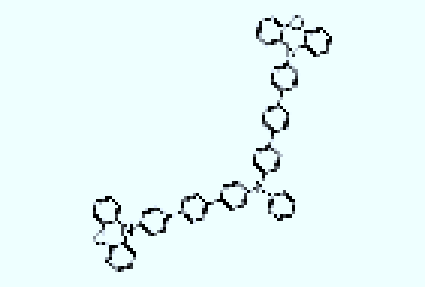 c1ccc(N(c2ccc(-c3ccc(-c4ccc(N5c6ccccc6Oc6ccccc65)cc4)cc3)cc2)c2ccc(-c3ccc(-c4ccc(N5c6ccccc6Oc6ccccc65)cc4)cc3)cc2)cc1